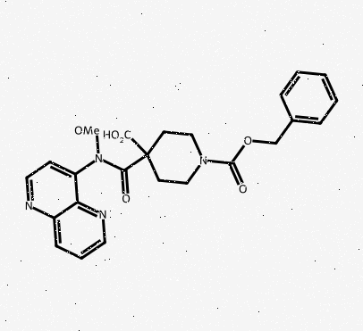 CON(C(=O)C1(C(=O)O)CCN(C(=O)OCc2ccccc2)CC1)c1ccnc2cccnc12